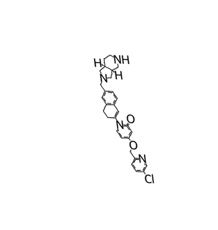 O=c1cc(OCc2ccc(Cl)cn2)ccn1C1=Cc2ccc(CN3C[C@H]4CNCC[C@H]4C3)cc2CC1